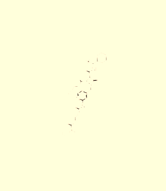 CCOC(=O)[C@H]1C(C(=O)N[C@@H](C2CCCCC2)C(F)(F)F)C(=O)N1Cc1ccnc(NC(=O)OCOC(=O)C(C)C)c1